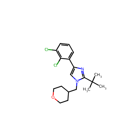 CC(C)(C)c1nc(-c2cccc(Cl)c2Cl)cn1CC1CCOCC1